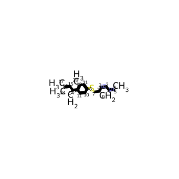 C=C(/C=C\C=C/C)CSc1ccc(C(=C)C=C(C)C)c(C)c1